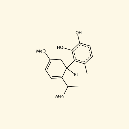 CCC1(c2c(C)ccc(O)c2O)CC(OC)=CC=C1C(C)NC